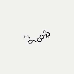 O=c1cccnn1-c1ccc2cc(CCN3CCCC3CO)ccc2c1